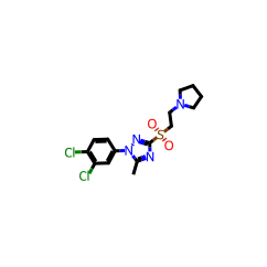 Cc1nc(S(=O)(=O)CCN2CCCC2)nn1-c1ccc(Cl)c(Cl)c1